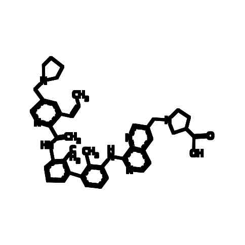 C=C(Nc1cccc(-c2cccc(Nc3nccc4cc(CN5CCC(C(=O)O)C5)cnc34)c2C)c1C)c1ncc(CN2CCCC2)cc1/C=C\C